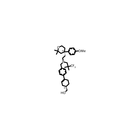 COc1ccc([C@]2(CCN(Cc3ccc(C4=CC[C@H](CO)CC4)cc3)CC(C)(C)C(F)(F)F)CCOC(C)(C)C2)cc1